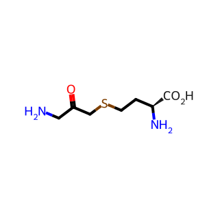 NCC(=O)CSCC[C@H](N)C(=O)O